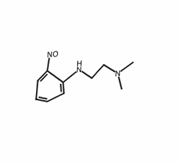 CN(C)CCNc1ccccc1N=O